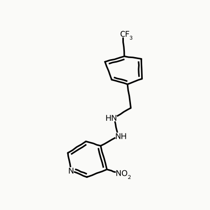 O=[N+]([O-])c1cnccc1NNCc1ccc(C(F)(F)F)cc1